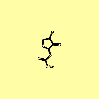 CCC1CSC(OC(=O)OC)C1=O